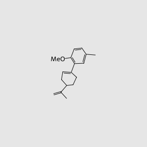 C=C(C)C1CC=C(c2cc(C)ccc2OC)CC1